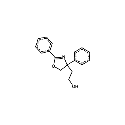 OCCC1(c2ccccc2)COC(c2ccccc2)=N1